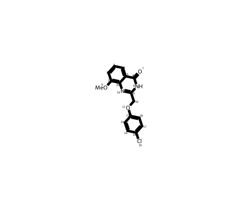 COc1cccc2c(=O)[nH]c(COc3ccc(Cl)cc3)nc12